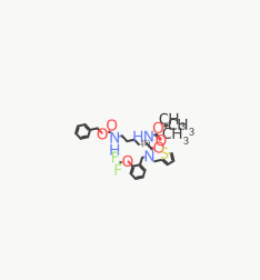 CC(C)(C)OC(=O)N[C@@H](CCCCNC(=O)OCc1ccccc1)C(=O)N(Cc1cccs1)Cc1ccccc1OC(F)F